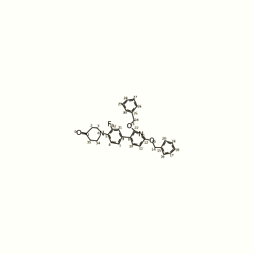 O=C1CCN(c2ccc(-c3ccc(OCc4ccccc4)nc3OCc3ccccc3)cc2F)CC1